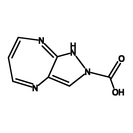 O=C(O)N1C=C2N=CC=CN=C2N1